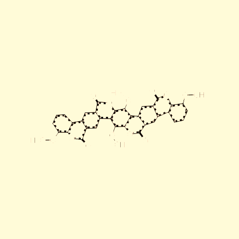 COc1cccc2c1oc(=O)c1cc3c(cc12)c(=O)oc1c(OC)c2c(oc(=O)c4cc5c(cc42)c(=O)oc2c(OC)cccc25)c(OC)c13